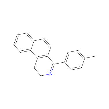 Cc1ccc(C2=NCCc3c2ccc2ccccc32)cc1